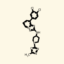 Cc1nnc(N2CCC(Nc3nc4c(-c5ccc(Cl)c(Cl)c5)cccn4n3)CC2)o1